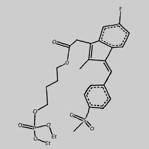 CCOP(=O)(OCC)OCCCCOC(=O)CC1=C(C)C(=Cc2ccc(S(C)(=O)=O)cc2)c2ccc(F)cc21